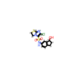 O=S(=O)(Nc1ccc2c(c1)C(O)CC2)c1c(Cl)nc2n1CCS2